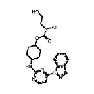 CC(=O)N(CCO)C(=O)OC1CCC(Nc2nccc(-n3ncc4ccccc43)n2)CC1